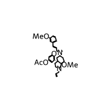 C=CCN1CC[C@@]2(c3cccc(OC(C)=O)c3)C[C@@H](N(C)C(=O)C=Cc3cccc(OC)c3)CC[C@]2(OC)C1